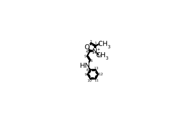 Cc1coc(/C=C/Nc2ccccc2)[n+]1C